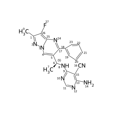 Cc1nn2cc([C@H](C)Nc3ncnc(N)c3C#N)c(-c3ccccc3)nc2c1F